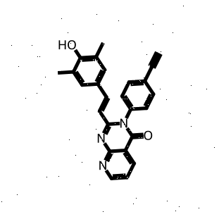 C#Cc1ccc(-n2c(C=Cc3cc(C)c(O)c(C)c3)nc3ncccc3c2=O)cc1